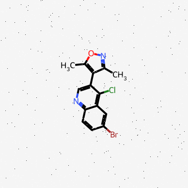 Cc1noc(C)c1-c1cnc2ccc(Br)cc2c1Cl